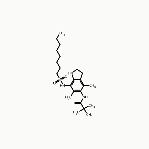 CCCCCCCCS(=O)(=O)Nc1c(C)c(NC(=O)C(C)(C)C)c(C)c2c1NCC2